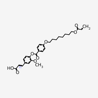 C=CC(=O)OCCCCCCCCOc1ccc(C(=O)Oc2ccc(/C=C/C(=O)O)cc2OC)cc1